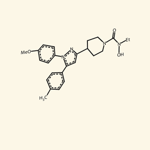 CCN(O)C(=O)N1CCC(c2cc(-c3ccc(C)cc3)n(-c3ccc(OC)cc3)n2)CC1